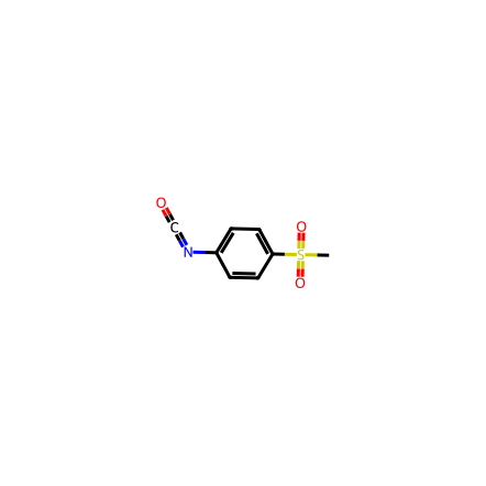 CS(=O)(=O)c1ccc(N=C=O)cc1